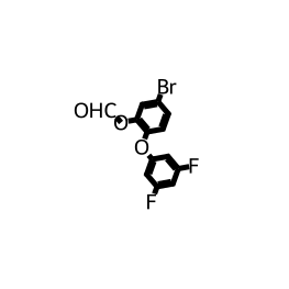 O=COc1cc(Br)ccc1Oc1cc(F)cc(F)c1